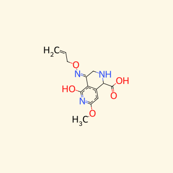 C=CCON=C1CNC(C(=O)O)c2cc(OC)nc(O)c21